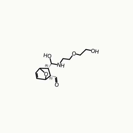 O=C[C@@H]1C2C=CC(O2)[C@@H]1C(O)NCCOCCO